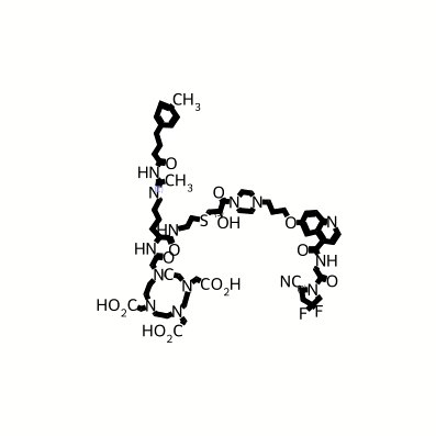 C/C(=N\CCCCC(NC(=O)CN1CCN(CC(=O)O)CCN(CC(=O)O)CCN(CC(=O)O)CC1)C(=O)NCCSC[C@@H](O)C(=O)N1CCN(CCCOc2ccc3nccc(C(=O)NCC(=O)N4CC(F)(F)C[C@@H]4C#N)c3c2)CC1)NC(=O)CCCc1ccc(C)cc1